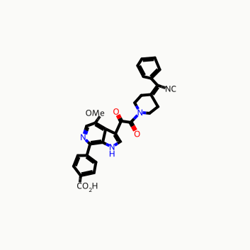 [C-]#[N+]C(=C1CCN(C(=O)C(=O)c2c[nH]c3c(-c4ccc(C(=O)O)cc4)ncc(OC)c23)CC1)c1ccccc1